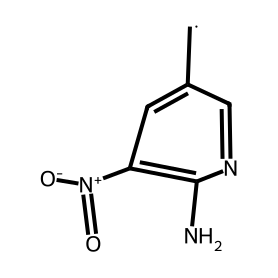 [CH2]c1cnc(N)c([N+](=O)[O-])c1